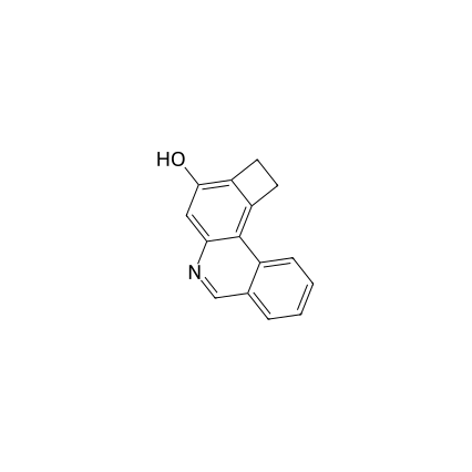 Oc1cc2ncc3ccccc3c2c2c1CC2